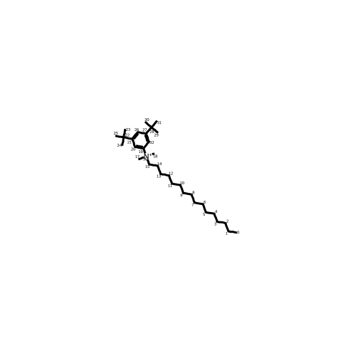 CCCCCCCCCCCCCCCC[N+](C)(C)c1cc(C(C)(C)C)cc(C(C)(C)C)c1